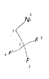 [N]CC(F)(F)F